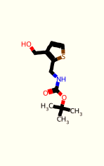 CC(C)(C)OC(=O)NCc1sccc1CO